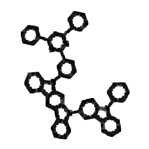 c1ccc(-c2cc(-c3ccccc3)nc(-c3cccc(-n4c5ccccc5c5cc6c7ccccc7n(-c7ccc8c(c7)c7ccccc7n8-c7ccccc7)c6cc54)c3)n2)cc1